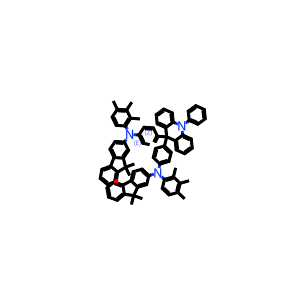 C=C(/C=C\C(=C/C)N(c1ccc2c(c1)C(C)(C)c1ccccc1-2)c1ccc(C)c(C)c1C)C1(c2ccc(N(c3ccc4c(c3)C(C)(C)c3ccccc3-4)c3ccc(C)c(C)c3C)cc2)c2ccccc2N(c2ccccc2)c2ccccc21